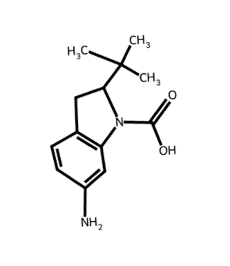 CC(C)(C)C1Cc2ccc(N)cc2N1C(=O)O